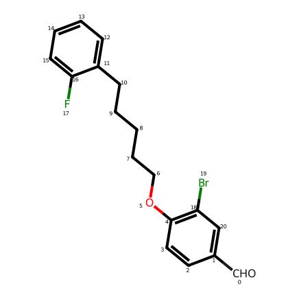 O=Cc1ccc(OCCCCCc2ccccc2F)c(Br)c1